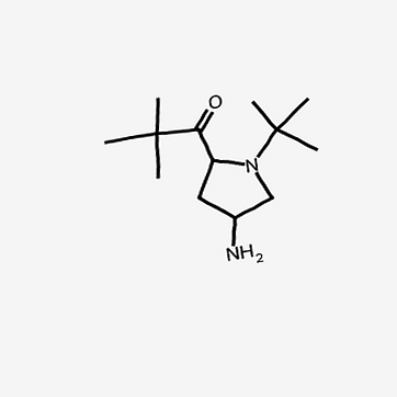 CC(C)(C)C(=O)C1CC(N)CN1C(C)(C)C